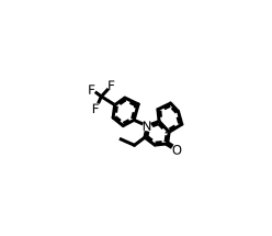 CCc1cc(=O)c2ccccc2n1-c1ccc(C(F)(F)F)cc1